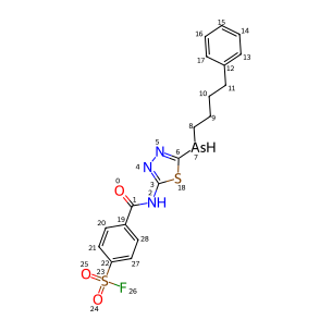 O=C(Nc1nnc([AsH]CCCCc2ccccc2)s1)c1ccc(S(=O)(=O)F)cc1